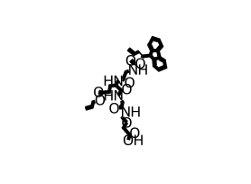 C=CCOC(=O)CCC(NC(=O)CNC(=O)O[C@@H](CC=C)C1c2ccccc2-c2ccccc21)C(=O)NCC(=O)NCOCC(=O)O